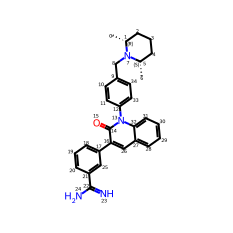 C[C@@H]1CCC[C@H](C)N1Cc1ccc(-n2c(=O)c(-c3cccc(C(=N)N)c3)cc3ccccc32)cc1